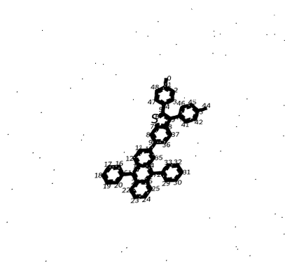 Cc1ccc(-c2sc3cc(-c4ccc5c(-c6ccccc6)c6ccccc6c(-c6ccccc6)c5c4)ccc3c2-c2ccc(C)cc2)cc1